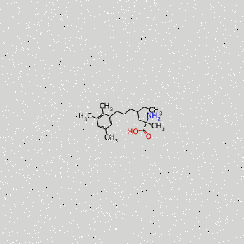 CCC(CCCc1cc(C)cc(C)c1C)CC(C)(N)C(=O)O